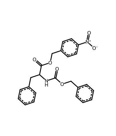 O=C(NC(Cc1ccccc1)C(=O)OCc1ccc([N+](=O)[O-])cc1)OCc1ccccc1